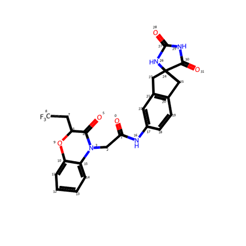 O=C(CN1C(=O)C(CC(F)(F)F)Oc2ccccc21)Nc1ccc2c(c1)CC1(C2)NC(=O)NC1=O